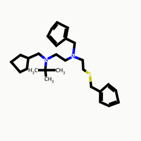 CC(C)(C)N(CCN(CCSCc1ccccc1)Cc1ccccc1)CC1CCCC1